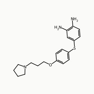 Nc1ccc(Sc2ccc(OCCCN3CCCC3)cc2)cc1N